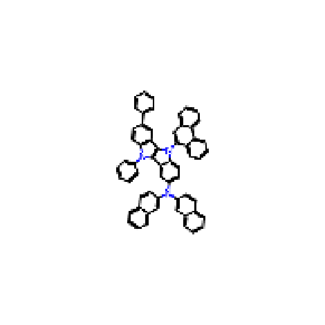 c1ccc(-c2ccc3c(c2)c2c(c4cc(N(c5ccc6ccccc6c5)c5ccc6ccccc6c5)ccc4n2-c2cc4ccccc4c4ccccc24)n3-c2ccccc2)cc1